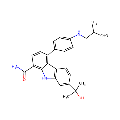 CC(C=O)CNc1ccc(-c2ccc(C(N)=O)c3[nH]c4cc(C(C)(C)O)ccc4c23)cc1